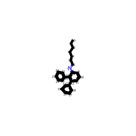 CCCCCCC[N]c1cccc(-c2ccccc2)c1-c1ccccc1